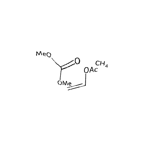 C.C=COC(C)=O.COC(=O)OC